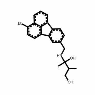 CCc1ccc2c3c(cccc13)-c1ccc(CNC(O)(I)C(C)CO)cc1-2